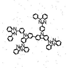 c1ccc(-c2nc(-c3ccc(-n4c5ccc(-n6c7ccccc7n7c8ccccc8nc67)cc5c5ccc(-c6ccc7c(c6)c6cc(-n8c9ccccc9n9c%10ccccc%10nc89)ccc6n7-c6cccc(-c7nc(-c8ccccc8)c8ccccc8n7)c6)cc54)cc3)nc3ccccc23)cc1